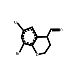 O=CC1CCOc2c(Br)cc(Cl)cc21